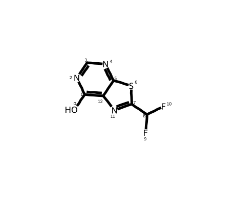 Oc1ncnc2sc(C(F)F)nc12